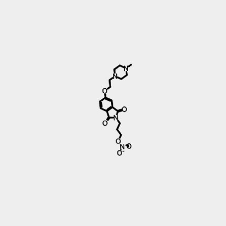 CN1CCN(CCOc2ccc3c(c2)C(=O)N(CCCO[N+](=O)[O-])C3=O)CC1